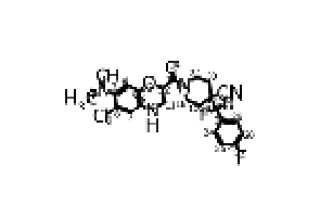 CN(C)c1cc2c(cc1Cl)NCC(C(=O)N1CCC(C#N)(C(F)(F)c3ccc(F)cc3)CC1)O2